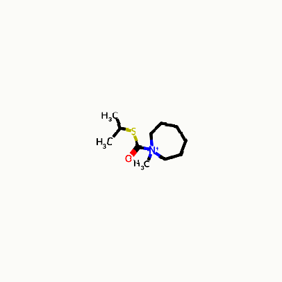 CC(C)SC(=O)[N+]1(C)CCCCCC1